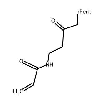 C=CC(=O)NCCC(=O)CCCCCC